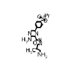 CC(CN)c1nnc(-c2nc(-c3ccc(S(=O)(=O)C(C)C)cc3)cnc2N)o1